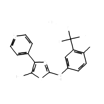 C.Oc1sc(Nc2ccc(F)c(C(F)(F)F)c2)nc1-c1ccncc1